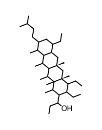 CCC(O)C1C(CC)C(CC)[C@@]2(C)C[C@@]3(C)CC4C(CC)CC(CCC(C)C)C(C)C4C(C)C3C(C)C2(C)C1C